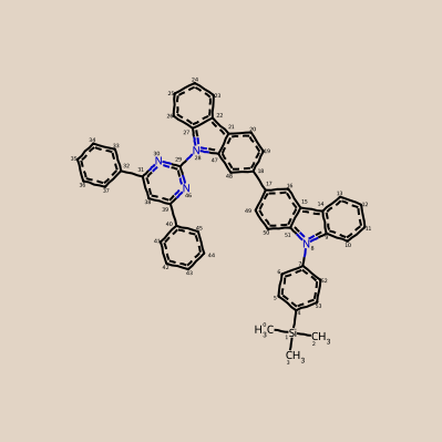 C[Si](C)(C)c1ccc(-n2c3ccccc3c3cc(-c4ccc5c6ccccc6n(-c6nc(-c7ccccc7)cc(-c7ccccc7)n6)c5c4)ccc32)cc1